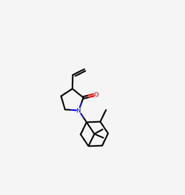 C=CC1CCN(C23CC(CCC2C)C3(C)C)C1=O